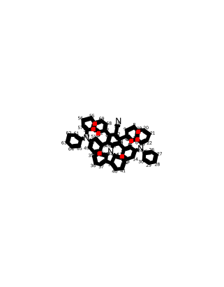 N#Cc1c(-c2ccccc2)c(-c2cccc3c2Sc2ccccc2N3c2ccccc2)c(-n2c3ccccc3c3ccccc32)c(-c2cccc3c2Sc2ccccc2N3c2ccccc2)c1-c1ccccc1